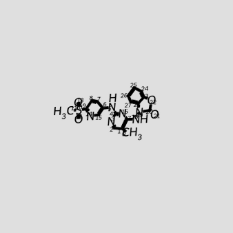 Cc1cnc(Nc2ccc(S(C)(=O)=O)nc2)nc1Nn1c(=O)oc2ccccc21